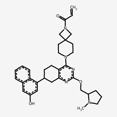 C=CC(=O)N1CC2(CCN(c3nc(OCC4CCCN4C)nc4c3CCC(c3cc(O)cc5ccccc35)C4)CC2)C1